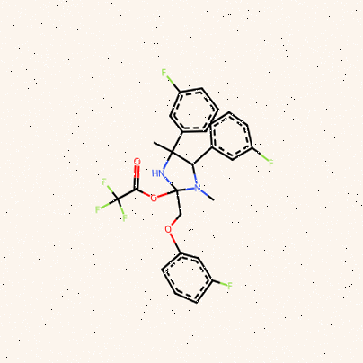 CN1C(c2cccc(F)c2)C(C)(c2cccc(F)c2)NC1(COc1cccc(F)c1)OC(=O)C(F)(F)F